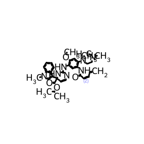 C=C/C=C\C(=O)Nc1cc(NC2=NC=CC(C(=O)OC(C)C)(c3cn(C)c4ccccc34)N2)c(OC)cc1N(C)CCN(C)C